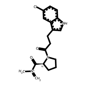 C=[N+](C)C(=O)[C@@H]1CCCN1C(=O)CCc1c[nH]c2ccc(Cl)cc12